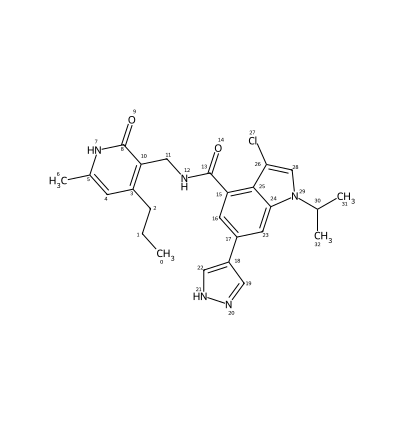 CCCc1cc(C)[nH]c(=O)c1CNC(=O)c1cc(-c2cn[nH]c2)cc2c1c(Cl)cn2C(C)C